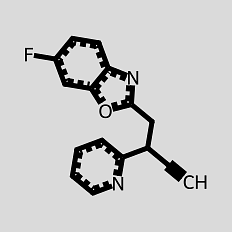 C#CC(Cc1nc2ccc(F)cc2o1)c1ccccn1